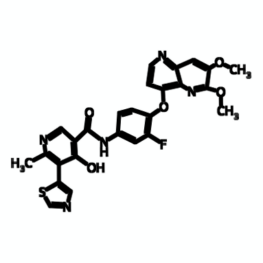 COc1cc2nccc(Oc3ccc(NC(=O)c4cnc(C)c(-c5cncs5)c4O)cc3F)c2nc1OC